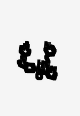 CN1CCC(N2CCc3ccc(NC(=O)c4cccnc4NCCc4cccnc4)cc32)CC1